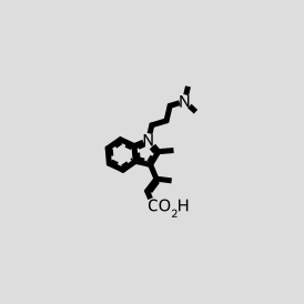 CC(=CC(=O)O)c1c(C)n(CCCN(C)C)c2ccccc12